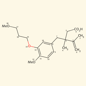 C=C(C)C(C)(CC(=O)O)Cc1ccc(OC)c(OCCCOC)c1